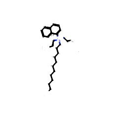 CCCCCCCCCCCC[N+](CCC)(CCC)c1cccc2ccccc12.[Cl-]